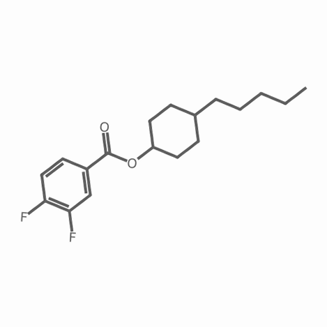 CCCCCC1CCC(OC(=O)c2ccc(F)c(F)c2)CC1